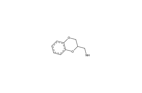 [NH]CC1COc2ccccc2O1